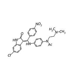 CC(=O)N(CCN(C)C)c1ccc(NC(=C2C(=O)Nc3cc(Cl)ccc32)c2ccc([N+](=O)[O-])cc2)cc1